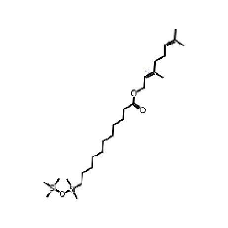 CC(C)=CCC/C(C)=C/COC(=O)CCCCCCCCCC[Si](C)(C)O[Si](C)(C)C